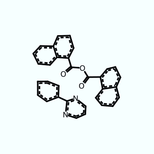 O=C(OC(=O)c1cccc2ccccc12)c1cccc2ccccc12.c1ccc(-c2ncccn2)cc1